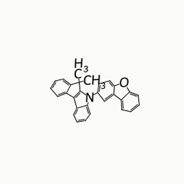 CC1(C)c2ccccc2-c2c1n(-c1ccc3oc4ccccc4c3c1)c1ccccc21